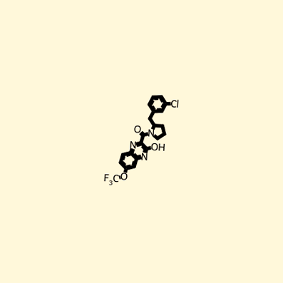 O=C(c1nc2ccc(OC(F)(F)F)cc2nc1O)N1CCCC1Cc1cccc(Cl)c1